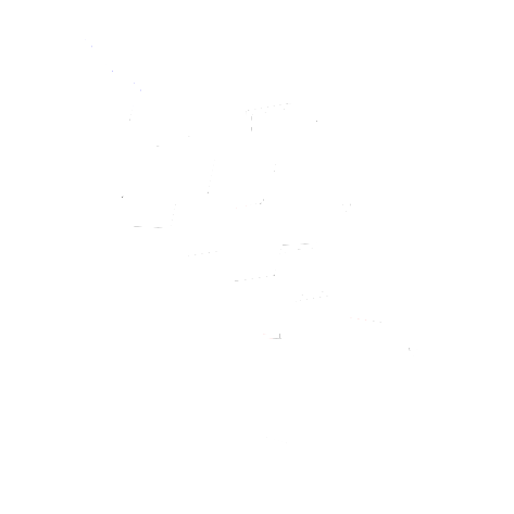 COCOc1cc(OC)cc(/C=C/C[C@@H]2CC(C)(C)OC2C(/C=C\C[C@H](C)N=[N+]=[N-])OC(=O)c2ccccc2)c1C(=O)OCC[Si](C)(C)C